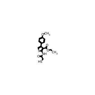 CCOC(=O)c1c(-c2ccc(OC)cc2)csc1NC(=O)CS